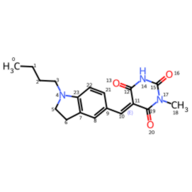 CCCCN1CCc2cc(/C=C3\C(=O)NC(=O)N(C)C3=O)ccc21